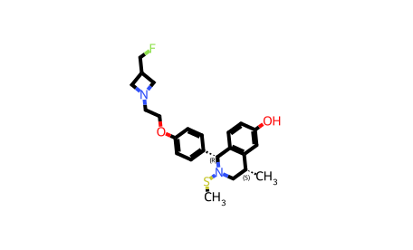 CSN1C[C@@H](C)c2cc(O)ccc2[C@H]1c1ccc(OCCN2CC(CF)C2)cc1